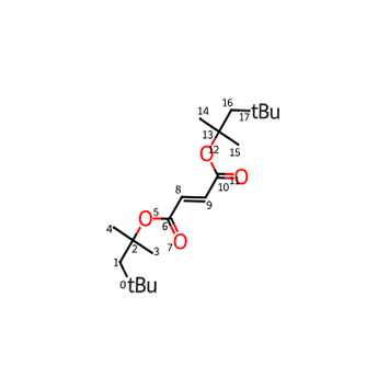 CC(C)(C)CC(C)(C)OC(=O)C=CC(=O)OC(C)(C)CC(C)(C)C